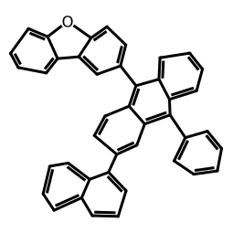 c1ccc(-c2c3ccccc3c(-c3ccc4oc5ccccc5c4c3)c3ccc(-c4cccc5ccccc45)cc23)cc1